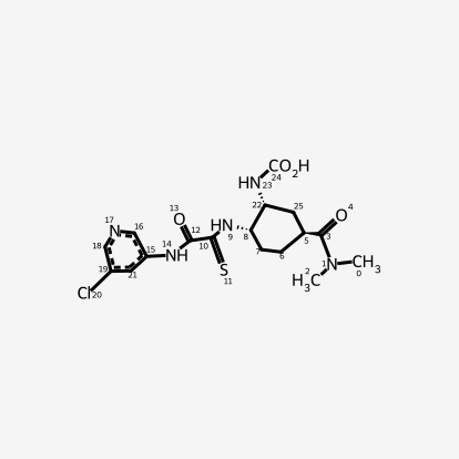 CN(C)C(=O)[C@H]1CC[C@H](NC(=S)C(=O)Nc2cncc(Cl)c2)[C@H](NC(=O)O)C1